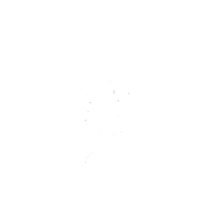 C=CCC(=C)CC(C(=O)O)C(CC(=C)CC=C)(C(=O)O)S(=O)(=O)O